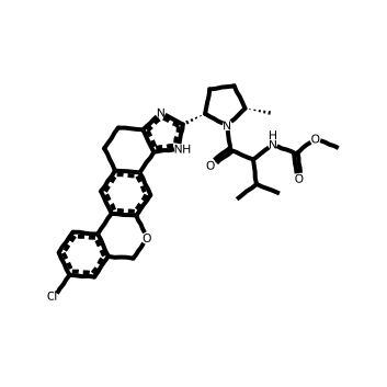 COC(=O)NC(C(=O)N1[C@@H](C)CC[C@H]1c1nc2c([nH]1)-c1cc3c(cc1CC2)-c1ccc(Cl)cc1CO3)C(C)C